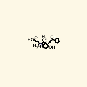 CO[C@]12CC[C@@H](O)[C@H](C#CC(O)C3CCCCC3)[C@H]1C(C)/C2=C\CCC(=O)O